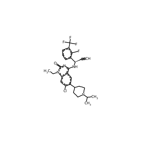 C#C[C@@H](Nc1nc(=O)n(CC)c2cc(Cl)c(C3CCN(C(C)C)CC3)cc12)c1cccc(C(F)(F)F)c1F